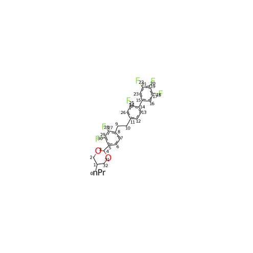 CCCC1COC(c2ccc(CCc3ccc(-c4cc(F)c(F)c(F)c4)c(F)c3)c(F)c2F)OC1